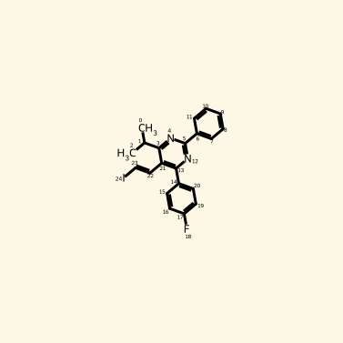 CC(C)c1nc(-c2ccccc2)nc(-c2ccc(F)cc2)c1C=CI